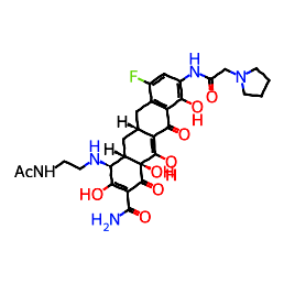 CC(=O)NCCN[C@@H]1C(O)=C(C(N)=O)C(=O)[C@@]2(O)C(O)=C3C(=O)c4c(O)c(NC(=O)CN5CCCC5)cc(F)c4C[C@H]3C[C@@H]12